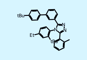 CCc1ccc(-n2c(-c3cccc(-c4ccc(C(C)(C)C)cc4)c3)nnc2-c2ccccc2C)c(C(C)(C)C)c1